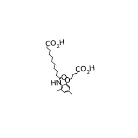 Cc1cc(C)c(NC(=O)CCCCCCCCCC(=O)O)c(OCCCC(=O)O)c1